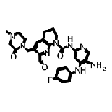 CN1CCN(Cc2cc3c(nc2C=O)N(C(=O)Nc2cc(Nc4ccc(F)cc4)c(N)cn2)CCC3)C(=O)C1